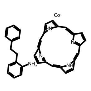 C1=Cc2cc3ccc(cc4nc(cc5ccc(cc1n2)[nH]5)C=C4)[nH]3.Nc1ccccc1CCc1ccccc1.[Co]